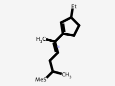 CCC1C=C(/C(C)=C/CC(C)SC)CC1